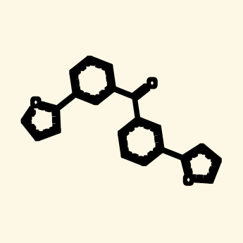 O=C(c1cccc(-c2ccco2)c1)c1cccc(-c2ccco2)c1